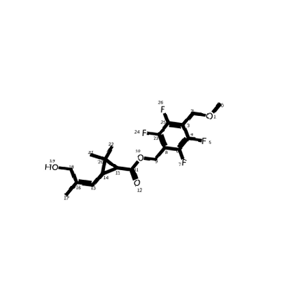 COCc1c(F)c(F)c(COC(=O)C2C(C=C(C)CO)C2(C)C)c(F)c1F